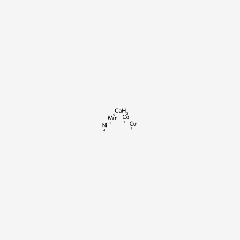 [CaH2].[Co].[Cu].[Mn].[Ni]